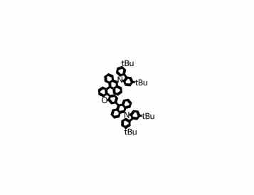 CC(C)(C)c1ccc2c(c1)c1cc(C(C)(C)C)ccc1n2-c1c2ccccc2c(-c2ccc3c(c2)oc2cccc(-c4c5ccccc5c(-n5c6ccc(C(C)(C)C)cc6c6cc(C(C)(C)C)ccc65)c5ccccc45)c23)c2ccccc12